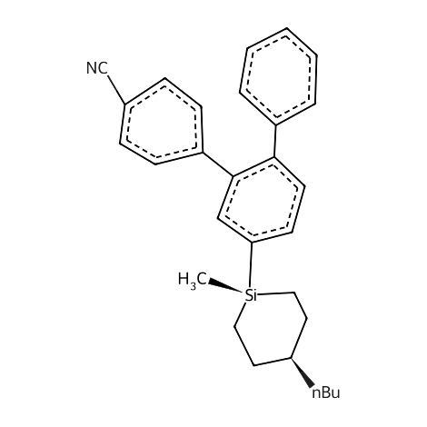 CCCC[C@H]1CC[Si@](C)(c2ccc(-c3ccccc3)c(-c3ccc(C#N)cc3)c2)CC1